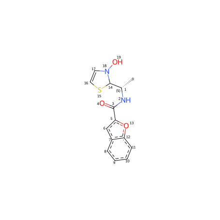 C[C@H](NC(=O)c1cc2ccccc2o1)C1SC=CN1O